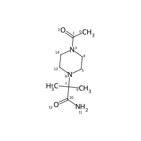 CC(=O)N1CCN(C(C)(C)C(N)=O)CC1